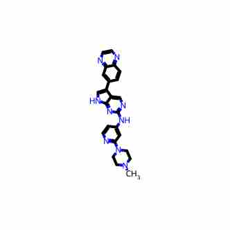 CN1CCN(c2cc(Nc3ncc4c(-c5ccc6nccnc6c5)c[nH]c4n3)ccn2)CC1